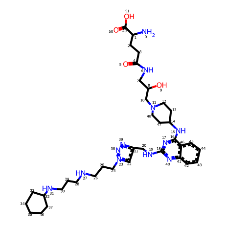 NC(CCC(=O)NCC(O)CN1CCC(Nc2nc(NCc3cn(CCCNCCCNC4CCCCC4)nn3)nc3ccccc23)CC1)C(=O)O